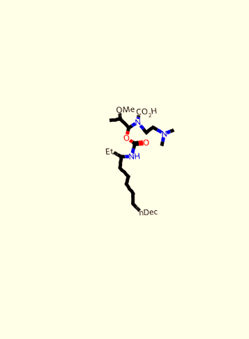 CCCCCCCCCCCCCCCC(CC)NC(=O)OC(C(C)OC)N(CCN(C)C)C(=O)O